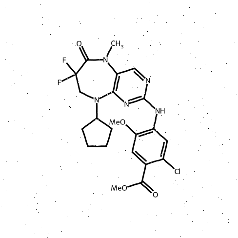 COC(=O)c1cc(OC)c(Nc2ncc3c(n2)N(C2CCCC2)CC(F)(F)C(=O)N3C)cc1Cl